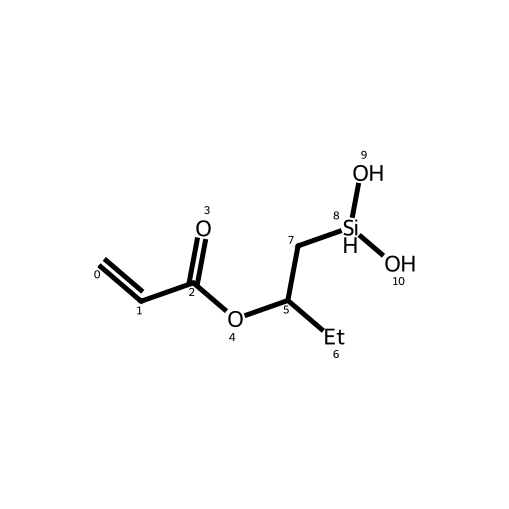 C=CC(=O)OC(CC)C[SiH](O)O